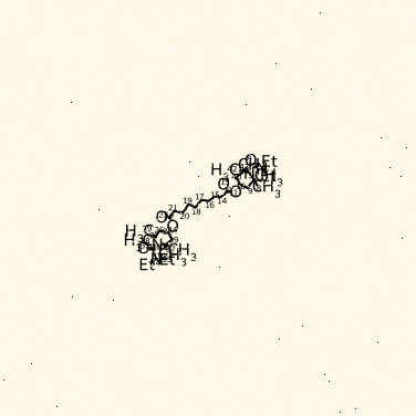 CCN(CC)C(=O)N1C(C)(C)CC(OC(=O)CCCCCCCCC(=O)OC2CC(C)(C)N(C(=O)N(CC)CC)C(C)(C)C2)CC1(C)C